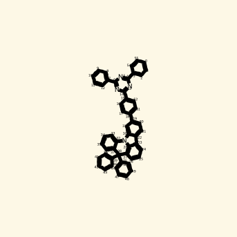 c1ccc(-c2nc(-c3ccccc3)nc(-c3ccc(-c4ccc5c6cccc7c6n(c5c4)-c4ccccc4C7(c4ccccc4)c4ccccc4)cc3)n2)cc1